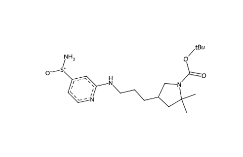 CC(C)(C)OC(=O)N1CC(CCCNc2cc([S+](N)[O-])ccn2)CC1(C)C